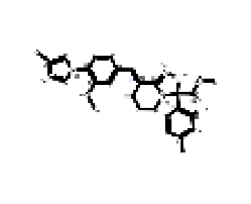 COC(=O)C1(c2ccc(C)cc2F)ON=C2/C(=C/c3ccc(-n4cnc(C)c4)c(OC)c3)CCCN21